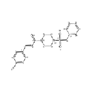 O=C(C=Cc1ccc(F)cc1)N1CCN(S(=O)(=O)Cc2ccccc2)CC1